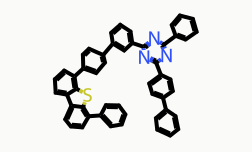 c1ccc(-c2ccc(-c3nc(-c4ccccc4)nc(-c4cccc(-c5ccc(-c6cccc7c6sc6c(-c8ccccc8)cccc67)cc5)c4)n3)cc2)cc1